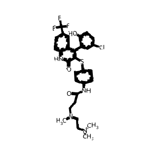 CN(C)CCN(C)CCC(=O)Nc1ccc(Sc2c(-c3cc(Cl)ccc3O)c3cc(C(F)(F)F)ccc3[nH]c2=O)cc1